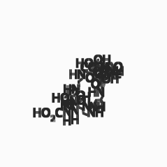 CO[C@@H]1C(OC(C(NCCCNC(=O)C(NC(=O)C(NC(=O)NC(C(=O)O)C(C)C)C2CCNC(=N)N2)C(O)C(C)C)C(=O)O)[C@H]2O[C@@H](n3ccc(=O)[nH]c3=O)[C@H](O)[C@H]2O)O[C@H](CNCc2ccccc2)[C@@H]1O